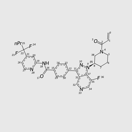 C=CC(=O)N1CCC[C@@H](n2nc(-c3ccc(C(=O)Nc4cc(C(F)(F)CCC)ccn4)cc3)c3cncc(F)c32)C1